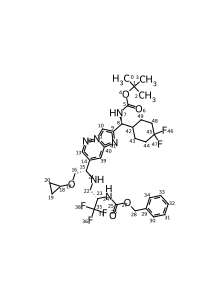 CC(C)(C)OC(=O)N[C@H](c1cn2ncc([C@@H](COC3CC3)NC[C@H](NC(=O)OCc3ccccc3)C(F)(F)F)cc2n1)C1CCC(F)(F)CC1